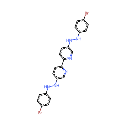 Brc1ccc(NNc2ccc(-c3ccc(NNc4ccc(Br)cc4)cn3)nc2)cc1